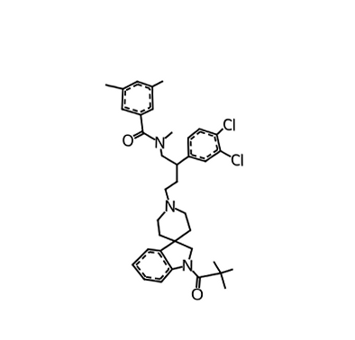 Cc1cc(C)cc(C(=O)N(C)CC(CCN2CCC3(CC2)CN(C(=O)C(C)(C)C)c2ccccc23)c2ccc(Cl)c(Cl)c2)c1